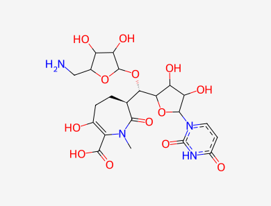 CN1C(=O)[C@H]([C@H](OC2OC(CN)C(O)C2O)C2OC(n3ccc(=O)[nH]c3=O)C(O)C2O)CCC(O)=C1C(=O)O